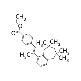 CCOC(=O)c1ccc(C=C(C)c2cccc3c2CC(C)(C)CC(C)(C)C3)cc1